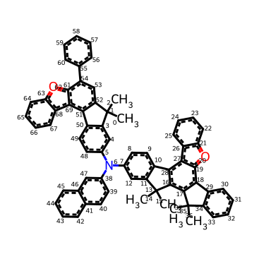 CC1(C)c2cc(N(c3ccc4c(c3)C(C)(C)c3c5c(c6oc7ccccc7c6c3-4)-c3ccccc3C5(C)C)c3ccc4ccccc4c3)ccc2-c2c1cc(-c1ccccc1)c1oc3ccccc3c21